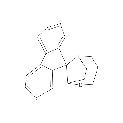 [c]1ccc2c(c1)C1(c3c[c]ccc3-2)C2CCCCC1CC2